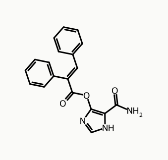 NC(=O)c1[nH]cnc1OC(=O)/C(=C/c1ccccc1)c1ccccc1